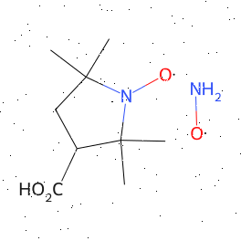 CC1(C)CC(C(=O)O)C(C)(C)N1[O].N[O]